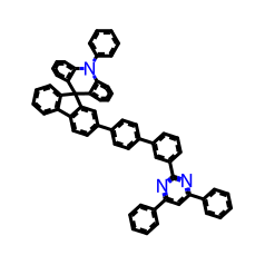 c1ccc(-c2cc(-c3ccccc3)nc(-c3cccc(-c4ccc(-c5ccc6c(c5)C5(c7ccccc7-6)c6ccccc6N(c6ccccc6)c6ccccc65)cc4)c3)n2)cc1